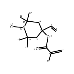 C=CC1(OC(=O)C(=C)C)CC(C)(C)N(Cl)C(C)(C)C1